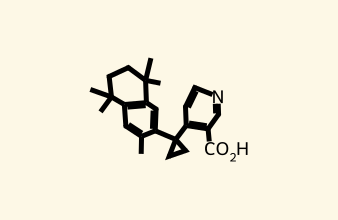 Cc1cc2c(cc1C1(c3ccncc3C(=O)O)CC1)C(C)(C)CCC2(C)C